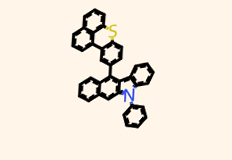 c1ccc(-n2c3ccccc3c3c(-c4ccc5c(c4)-c4cccc6cccc(c46)S5)c4ccccc4cc32)cc1